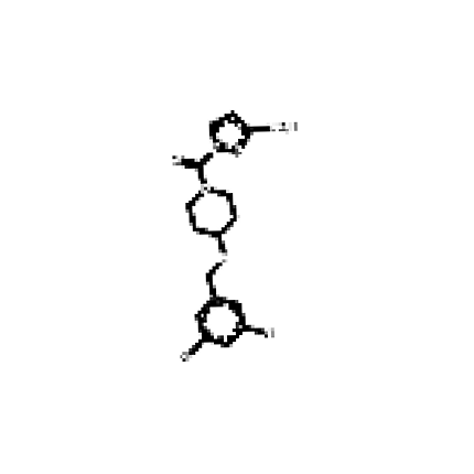 O=C(O)c1ccn(C(=O)N2CCC(OCc3cc(Cl)cc(Cl)c3)CC2)n1